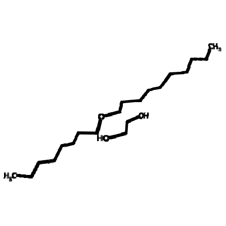 CCCCCCCCCCOCCCCCCCC.OCCO